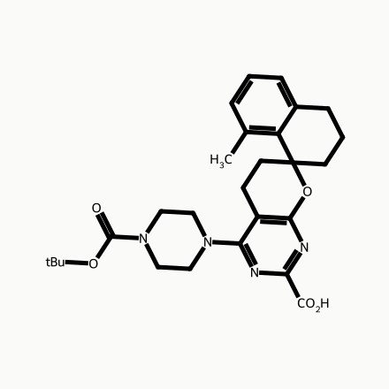 Cc1cccc2c1C1(CCC2)CCc2c(nc(C(=O)O)nc2N2CCN(C(=O)OC(C)(C)C)CC2)O1